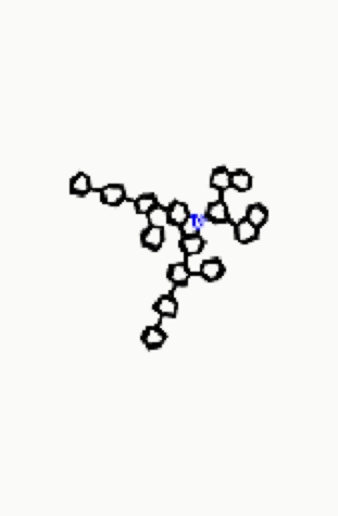 c1ccc(-c2ccc(-c3ccc(-c4ccc5c(c4)c4cc(-c6ccc(-c7ccc(-c8ccccc8)cc7)cc6-c6ccccc6)ccc4n5-c4cc(-c5cccc6ccccc56)cc(-c5cccc6ccccc56)c4)c(-c4ccccc4)c3)cc2)cc1